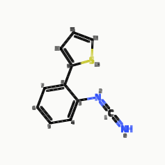 N=C=Nc1ccccc1-c1cccs1